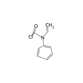 C=CN(C(=O)Cl)c1ccccc1